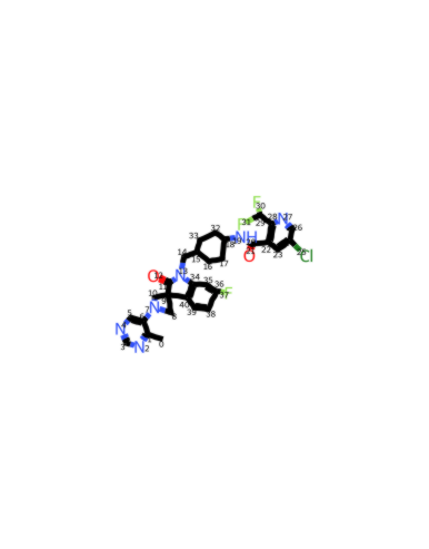 Cc1ncncc1N1CC2(C1)C(=O)N(CC1CCC(NC(=O)c3cc(Cl)cnc3C(F)F)CC1)c1cc(F)ccc12